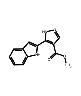 COC(=O)c1cn[nH]c1-c1cc2ccccc2[nH]1